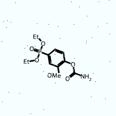 CCOP(=O)(OCC)c1ccc(OC(N)=O)c(OC)c1